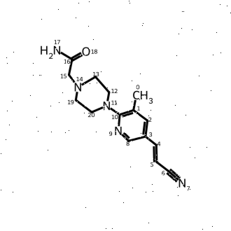 Cc1cc(/C=C/C#N)cnc1N1CCN(CC(N)=O)CC1